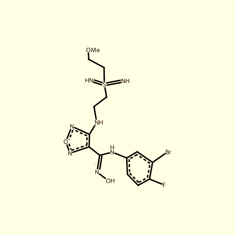 COCCS(=N)(=N)CCNc1nonc1/C(=N/O)Nc1ccc(F)c(Br)c1